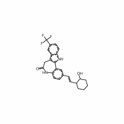 O=C1Cc2c([nH]c3ccc(C(F)(F)F)cc23)-c2cc(/C=C/C3CCCCC3O)ccc2N1